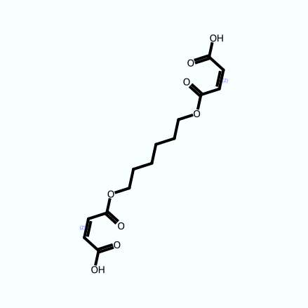 O=C(O)/C=C\C(=O)OCCCCCCOC(=O)/C=C\C(=O)O